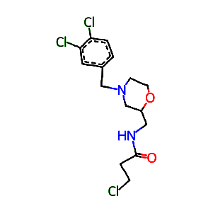 O=C(CCCl)NCC1CN(Cc2ccc(Cl)c(Cl)c2)CCO1